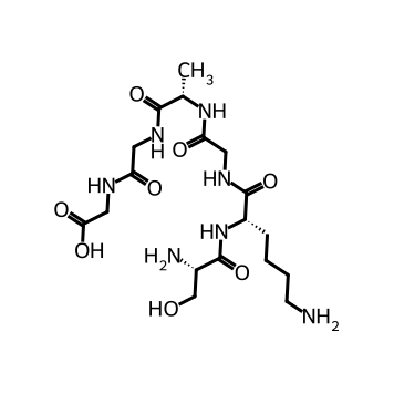 C[C@H](NC(=O)CNC(=O)[C@H](CCCCN)NC(=O)[C@@H](N)CO)C(=O)NCC(=O)NCC(=O)O